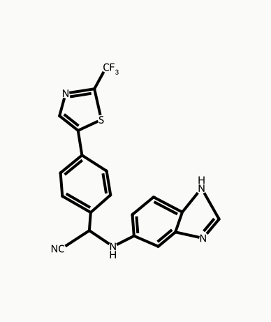 N#CC(Nc1ccc2[nH]cnc2c1)c1ccc(-c2cnc(C(F)(F)F)s2)cc1